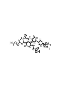 CO[C@H]1CC[C@@H](C(=O)N(Cc2ccc(-c3ccc(N(C)C)cc3)cc2)c2cccc(C=CC(=O)O)c2)CC1